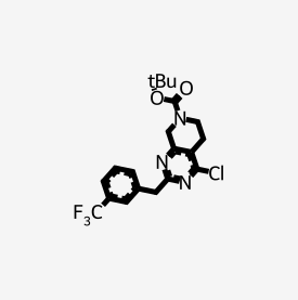 CC(C)(C)OC(=O)N1CCc2c(Cl)nc(Cc3cccc(C(F)(F)F)c3)nc2C1